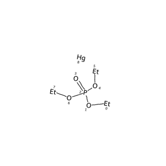 CCOP(=O)(OCC)OCC.[Hg]